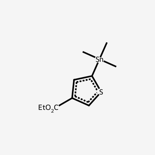 CCOC(=O)c1cs[c]([Sn]([CH3])([CH3])[CH3])c1